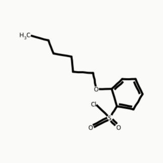 CCCCCCOc1ccccc1S(=O)(=O)Cl